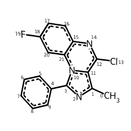 Cc1nc(-c2ccccc2)n2c1c(Cl)nc1ccc(F)cc12